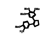 COc1ccc(C2=C(c3cc(OC)c(OC)c(OC)c3)CCC2)cc1N